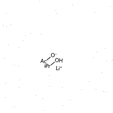 CC(=O)[O-].CC(C)O.[Li+]